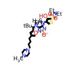 CCN(CC)S(=O)(=O)c1scc(N(C)c2n[s+]([O-])nc2N(C)[C@@H](c2cc(CCCCN3CCN(C)CC3)co2)C(C)(C)C)c1O